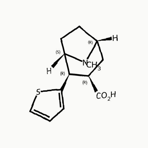 CN1[C@@H]2CC[C@H]1[C@H](c1cccs1)[C@H](C(=O)O)C2